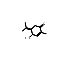 CC1=C[C@@H](O)C(=C(C)C)CC1=O